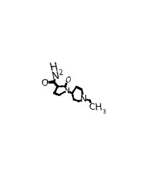 CCN1CCC(N2CCC(C(N)=O)C2=O)CC1